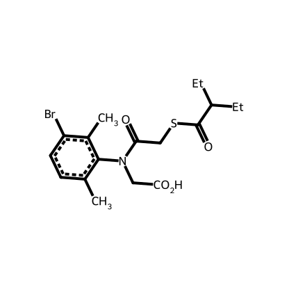 CCC(CC)C(=O)SCC(=O)N(CC(=O)O)c1c(C)ccc(Br)c1C